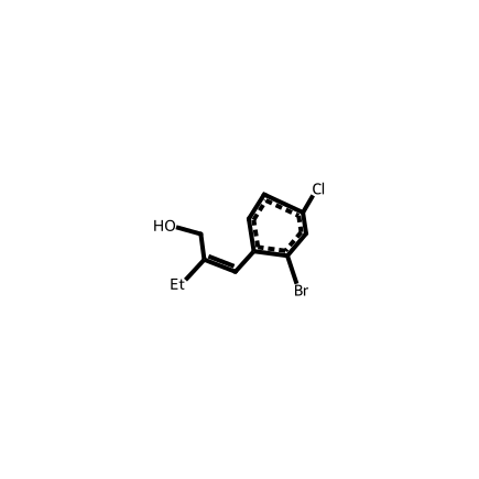 CCC(=Cc1ccc(Cl)cc1Br)CO